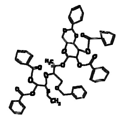 CCSC(OC(COCc1ccccc1)[C@H](C)OC1OC2COC(c3ccccc3)OC2C(OC(=O)c2ccccc2)C1OC(=O)c1ccccc1)C(OC(=O)c1ccccc1)OC(=O)c1ccccc1